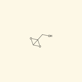 OCC12OC1O2